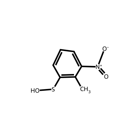 Cc1c(SO)cccc1[N+](=O)[O-]